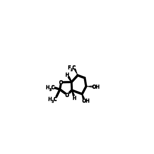 CC1(C)O[C@H]2[C@H](O)[C@@H](O)C[C@@H](C(F)(F)F)[C@H]2O1